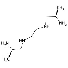 C[C@@H](N)CNCCNC[C@@H](C)N